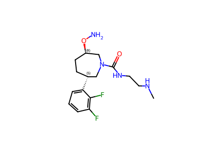 CNCCNC(=O)N1C[C@H](ON)CC[C@@H](c2cccc(F)c2F)C1